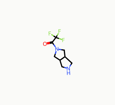 O=C(N1CC2CNCC2C1)C(F)(F)F